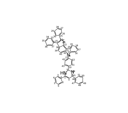 C1=C(c2ccccc2)NC(c2ccc(-n3c4ccccc4c4c5sc(-c6ccccc6)c(-c6ccccc6)c5ccc43)cc2)N=C1c1ccccc1